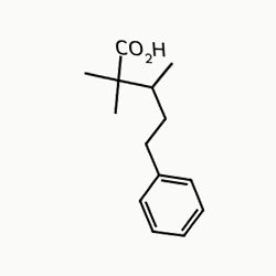 CC(CCc1ccccc1)C(C)(C)C(=O)O